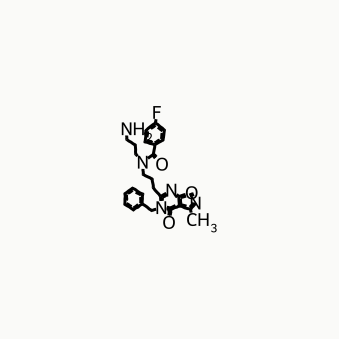 Cc1noc2nc(CCCN(CCCN)C(=O)c3ccc(F)cc3)n(Cc3ccccc3)c(=O)c12